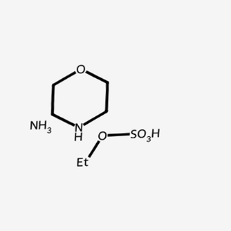 C1COCCN1.CCOS(=O)(=O)O.N